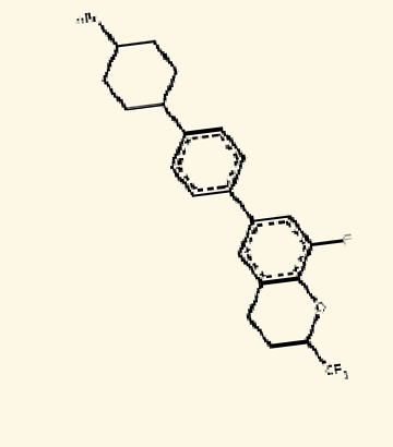 CCCC1CCC(c2ccc(-c3cc(F)c4c(c3)CCC(C(F)(F)F)O4)cc2)CC1